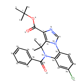 CC(C)(C)OC(=O)c1ncn2c1C(C)(C)N(C(=O)c1ccccc1)c1cc(Cl)ccc1-2